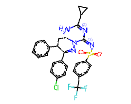 N/C(=N\C(=N\S(=O)(=O)c1ccc(C(F)(F)F)cc1)N1CCC(c2ccccc2)C(c2ccc(Cl)cc2)=N1)C1CC1